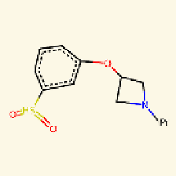 CC(C)N1CC(Oc2cccc([SH](=O)=O)c2)C1